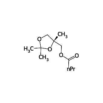 CCCC(=O)OC[C@@]1(C)COC(C)(C)O1